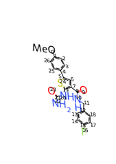 COc1ccc(-c2cc(C(=O)NCc3ccc(F)cc3)c(NC(N)=O)s2)cc1